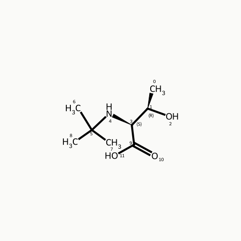 C[C@@H](O)[C@H](NC(C)(C)C)C(=O)O